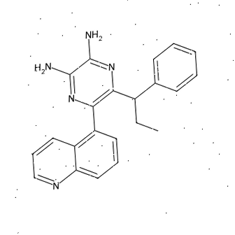 CCC(c1ccccc1)c1nc(N)c(N)nc1-c1cccc2ncccc12